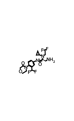 NC[C@@H](C(=O)Nc1ccc(N2CCOCC2=O)c(C(F)F)c1)N(CC(F)F)C1CC1